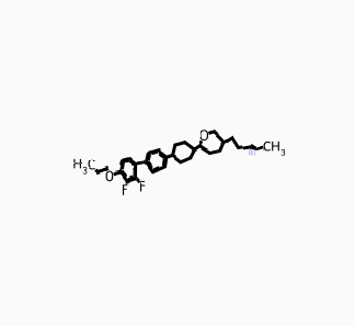 C/C=C/CCC1CCC(C2CCC(c3ccc(-c4ccc(OCCC)c(F)c4F)cc3)CC2)OC1